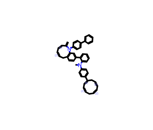 C=C1/C=C\C=C/Cc2ccc(-c3ccccc3N(C)c3ccc(/C4=C/C=C\C/C=C\C=C/C4)cc3)cc2N1c1ccc(-c2ccccc2)cc1